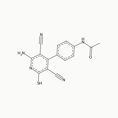 CC(=O)Nc1ccc(-c2c(C#N)c(N)nc(S)c2C#N)cc1